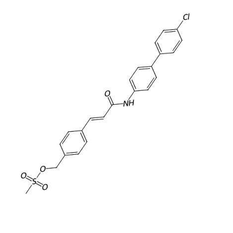 CS(=O)(=O)OCc1ccc(/C=C/C(=O)Nc2ccc(-c3ccc(Cl)cc3)cc2)cc1